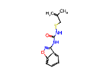 C=C(C)CSNC(=O)Nc1noc2ccccc12